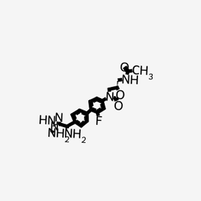 CC(=O)NC[C@H]1CN(c2ccc(-c3ccc(C(N)c4n[nH]n4N)cc3)c(F)c2)C(=O)O1